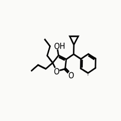 CCCC1(CCC)OC(=O)C(C(C2=C[CH]CC=C2)C2CC2)=C1O